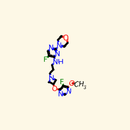 COc1ncnc(OC2CN(CCCNc3nc(N4CCOCC4)ncc3F)C2)c1F